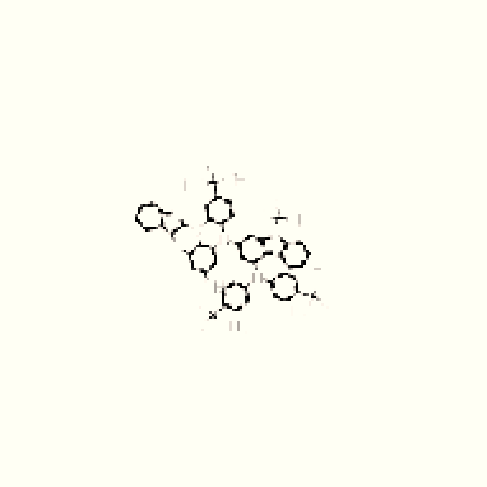 Cc1cc2c3c(c1)N(c1cc(N(c4ccc(C(C)(C)C)cc4)c4ccc(C(C)(C)C)cc4)c4c5ccccc5n(C(C)(C)C)c4c1)c1ccc(C(C)(C)C)cc1B3c1oc3ccccc3c1O2